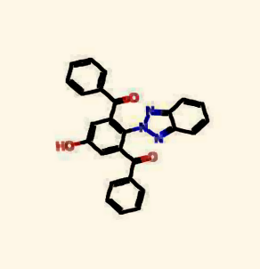 O=C(c1ccccc1)c1cc(O)cc(C(=O)c2ccccc2)c1-n1nc2ccccc2n1